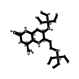 CC[Si](CC)(CC)OCCC1OC2C(CC1O[Si](CC)(CC)CC)OC(=O)C[C@@H]2N